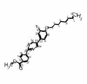 CCCCCCCCOc1ccc(-c2cnc(-c3ccc(C(=O)OC)cc3)nc2)cc1F